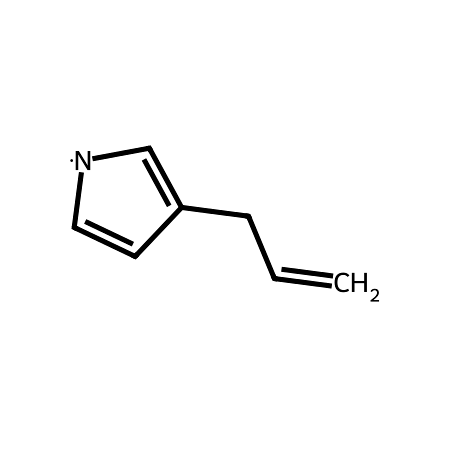 C=CCC1=C[N]C=C1